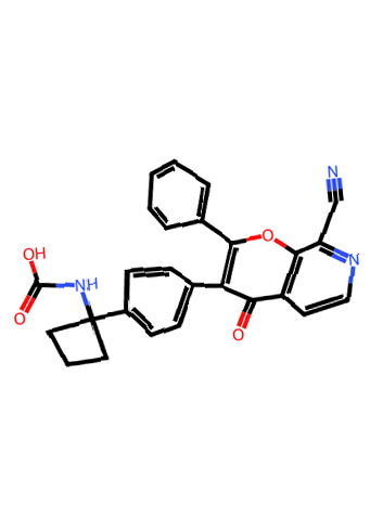 N#Cc1nccc2c(=O)c(-c3ccc(C4(NC(=O)O)CCC4)cc3)c(-c3ccccc3)oc12